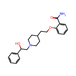 NC(=O)c1ccccc1OCCC1CCN(CC(O)c2ccccc2)CC1